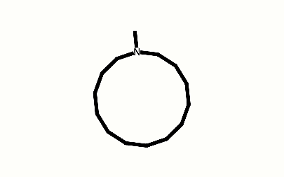 CN1CCCCCCCCCCCCC1